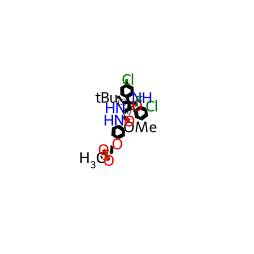 COc1cc(OCCS(C)(=O)=O)ccc1NC(=O)[C@@H]1N[C@@H](CC(C)(C)C)C2(C(=O)Nc3cc(Cl)ccc32)[C@@H]1c1cccc(Cl)c1F